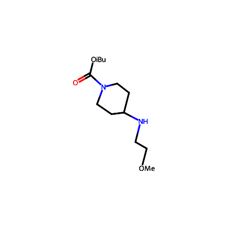 COCCNC1CCN(C(=O)OCC(C)C)CC1